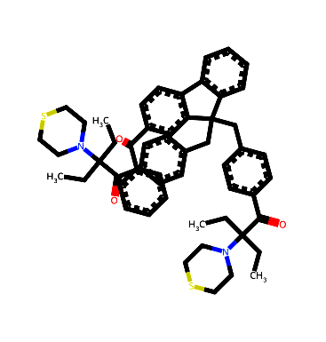 CCC(CC)(C(=O)c1ccc(CC2(Cc3ccc(C(=O)C(CC)(CC)N4CCSCC4)cc3)c3ccccc3-c3ccc(C(=O)c4ccccc4)cc32)cc1)N1CCSCC1